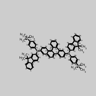 CC1(C)c2ccccc2-c2ccc(N(c3ccc(S(C)(C)C)cc3)c3ccc4c(ccc5c6ccc(N(c7ccc(S(C)(C)C)cc7)c7ccc8c(c7)C(C)(C)c7ccccc7-8)cc6c6ccccc6c45)c3)cc21